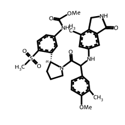 COC(=O)Nc1ccc(S(C)(=O)=O)c([C@H]2CCCN2C(=O)C(Nc2cc(C)c3c(c2)C(=O)NC3)c2ccc(OC)c(C)c2)c1